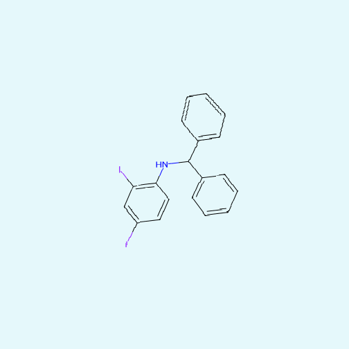 Ic1ccc(NC(c2ccccc2)c2ccccc2)c(I)c1